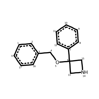 c1ccc(COC2(c3ccccc3)CNC2)cc1